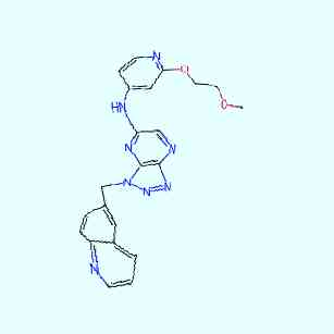 COCCOc1cc(Nc2cnc3nnn(Cc4ccc5ncccc5c4)c3n2)ccn1